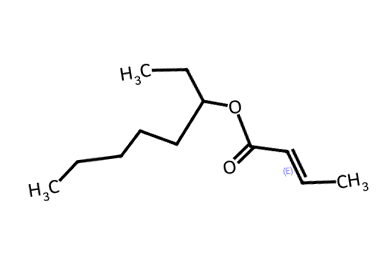 C/C=C/C(=O)OC(CC)CCCCC